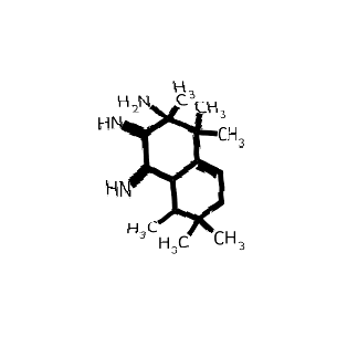 CC1C2C(=N)C(=N)C(C)(N)C(C)(C)C2=CCC1(C)C